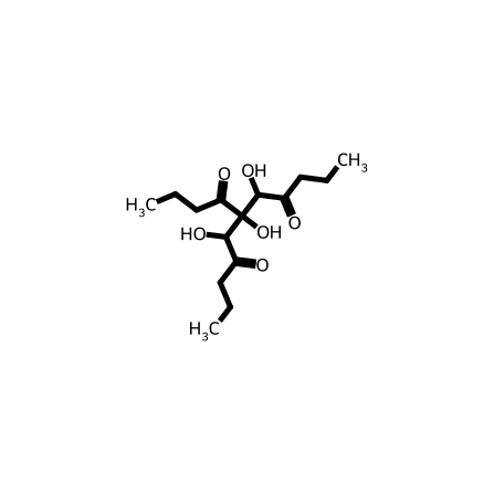 CCCC(=O)C(O)C(O)(C(=O)CCC)C(O)C(=O)CCC